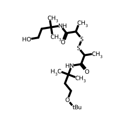 CC(SSC(C)C(=O)NC(C)(C)CCOC(C)(C)C)C(=O)NC(C)(C)CCO